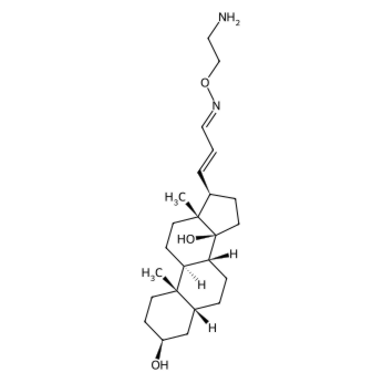 C[C@]12CC[C@H](O)C[C@H]1CC[C@@H]1[C@@H]2CC[C@]2(C)[C@@H](/C=C/C=N/OCCN)CC[C@]12O